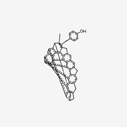 CC1C2C3C=C4CC5=c6c4c4c3c3c7c8c(cc9cc%10c%11c%12c(cc(c%13c6c6c4c3c3c8c9c%11c3c6c%12%13)C5)C%10)CC72CN1c1ccc(O)cc1